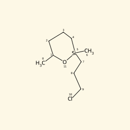 CC1CCC[Si](C)(CCCCl)O1